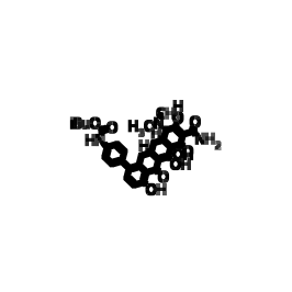 CC(C)COC(=O)Nc1ccc(-c2ccc(O)c3c2C[C@H]2C[C@H]4[C@H](N(C)C)C(O)=C(C(N)=O)C(=O)[C@@]4(O)C(O)=C2C3=O)cc1